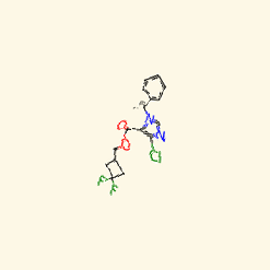 C[C@H](c1ccccc1)n1cnc(Cl)c1C(=O)OCC1CC(F)(F)C1